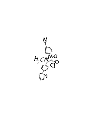 Cn1c(-c2ccc(-c3ccccn3)cc2)c(C(=O)Cl)c(=O)n1-c1ccc(C#N)cc1